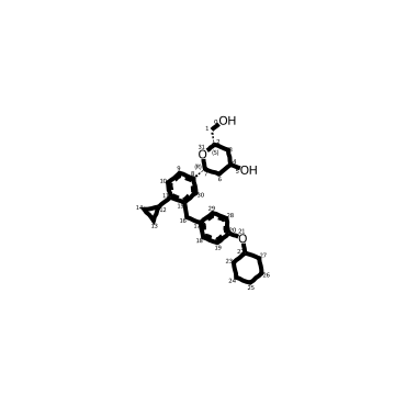 OC[C@@H]1CC(O)C[C@H](c2ccc(C3CC3)c(Cc3ccc(OC4CCCCC4)cc3)c2)O1